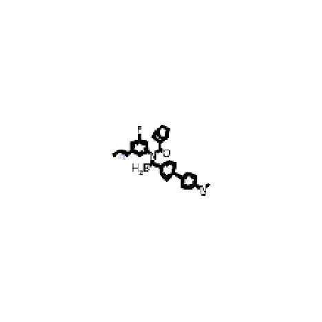 BC(c1ccc(-c2ccc(N(C)C)cc2)cc1)N(C(=O)C1CC2CCC1C2)c1cc(F)cc(/C=C/C)c1